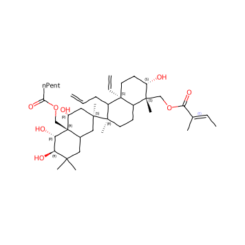 C=CCC1[C@@]2(C=C)CC[C@H](O)[C@](C)(COC(=O)/C(C)=C/C)C2CC[C@@]1(C)[C@@]1(C)CC2CC(C)(C)[C@@H](O)[C@H](O)[C@]2(COC(=O)CCCCC)[C@H](O)C1